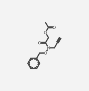 C#CCN(OCc1ccccc1)C(=O)COC(C)=O